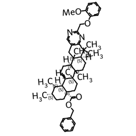 COc1ccccc1OCc1ncc2c(n1)C(C)(C)[C@H]1CC[C@@]3(C)[C@@H](CC=C4[C@@H]5[C@@H](C)[C@@H](C)CC[C@]5(C(=O)OCc5ccccc5)CC[C@]43C)[C@]1(C)C2